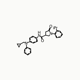 CC(C)c1ccccc1N1CC(C(=O)Nc2ccc(N(CC3CC3)c3ccccc3)cc2)CC1=O